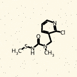 CSNC(=O)N(C)Cc1cccnc1Cl